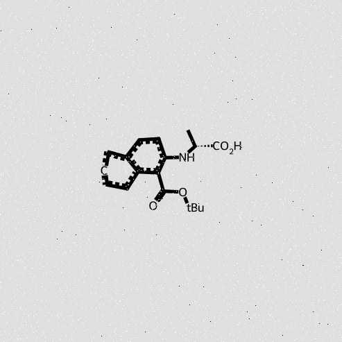 C[C@@H](Nc1ccc2ccccc2c1C(=O)OC(C)(C)C)C(=O)O